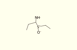 CCC([NH])[S+]([O-])CC